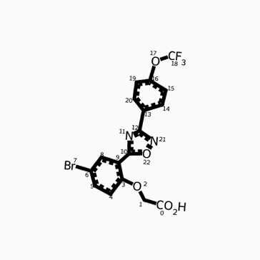 O=C(O)COc1ccc(Br)cc1-c1nc(-c2ccc(OC(F)(F)F)cc2)no1